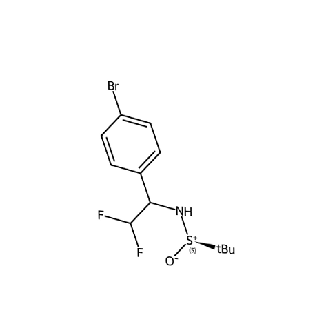 CC(C)(C)[S@@+]([O-])NC(c1ccc(Br)cc1)C(F)F